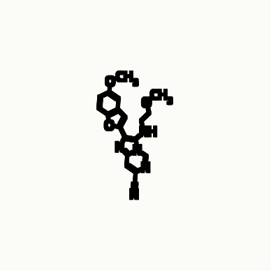 COCCNc1c(-c2cc3cc(OC)ccc3o2)nc2cc(C#N)ncn12